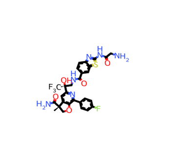 C[C@]1(C(N)=O)COc2c1cc([C@@](O)(CNC(=O)c1ccc3nc(NC(=O)CN)sc3c1)C(F)(F)F)nc2-c1ccc(F)cc1